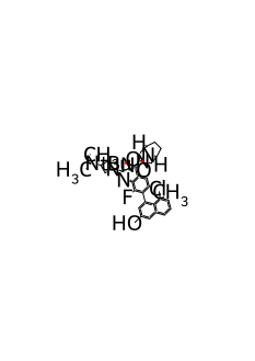 Cc1cccc2cc(O)cc(-c3c(Cl)cc4c(N5C[C@H]6CC[C@@H](C5)N6C(=O)OC(C)(C)C)nc(N5CC(N(C)C)C5)nc4c3F)c12